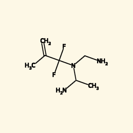 C=C(C)C(F)(F)N(CN)C(C)N